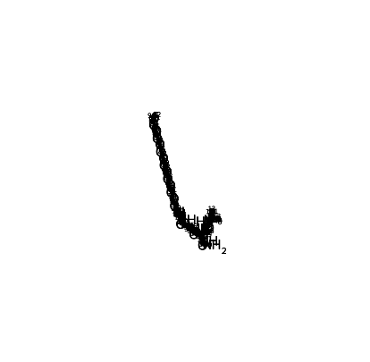 CCC(C)(C)SCC(CSC(C)(C)C)=NOCC(=O)N[C@H](C(=O)N[C@@H](CCCNC(N)=O)C(=O)Nc1ccc(COC(=O)NCc2cn(CCOCCOCCOCCOCCOCCOCCOCCOCCOCCOCCOCCOCCOCCC(C)SC)nn2)cc1)C(C)C